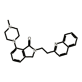 CN1CCN(c2cccc3c2C(=O)N(CCc2ccc4ccccc4n2)C3)CC1